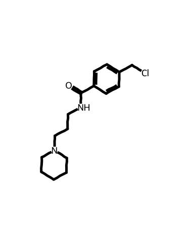 O=C(NCCCN1CCCCC1)c1ccc(CCl)cc1